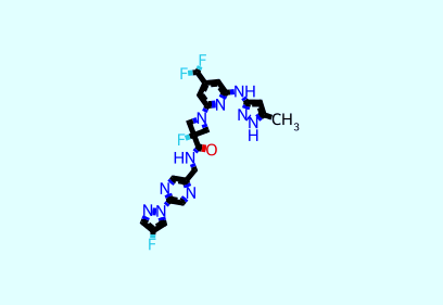 Cc1cc(Nc2cc(C(F)F)cc(N3CC(F)(C(=O)NCc4cnc(-n5cc(F)cn5)cn4)C3)n2)n[nH]1